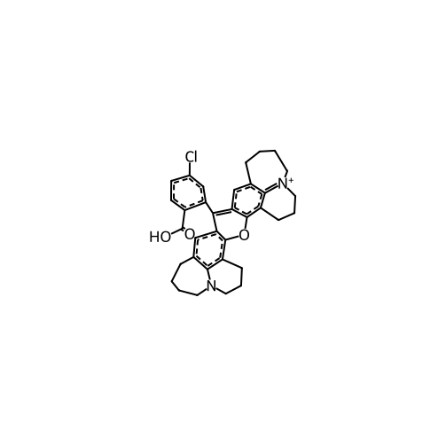 O=C(O)c1ccc(Cl)cc1C1=c2cc3c4c(c2Oc2c1cc1c5c2CCCN5CCCC1)CCC[N+]=4CCCC3